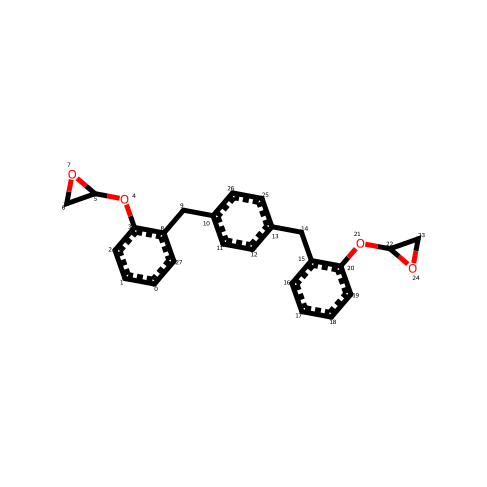 c1ccc(OC2CO2)c(Cc2ccc(Cc3ccccc3OC3CO3)cc2)c1